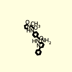 CC(C(=O)Nc1ccc(C(=O)Nc2nc(-c3ccccc3)ccc2N)cc1)N1CCCC1=O